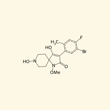 CON1C(=O)C(c2cc(Br)c(F)cc2C)=C(O)C12CCN(O)CC2